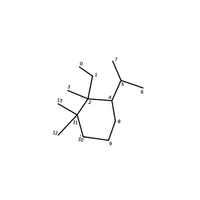 CCC1(C)C(C(C)C)CC[C]C1(C)C